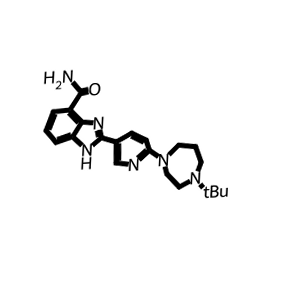 CC(C)(C)N1CCCN(c2ccc(-c3nc4c(C(N)=O)cccc4[nH]3)cn2)CC1